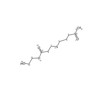 C[Si](=O)CCCSCCC(=O)OCCO